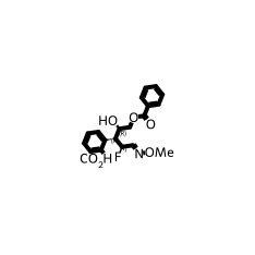 CON=C[C@H](F)[C@H](c1ccccc1C(=O)O)[C@@H](O)COC(=O)c1ccccc1